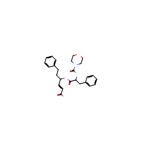 NC(=O)C=CC(CCc1ccccc1)NC(=O)C(Cc1ccccc1)NC(=O)N1CCOCC1